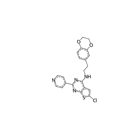 Clc1cc2c(NCCc3ccc4c(c3)OCCO4)nc(-c3ccncc3)nc2s1